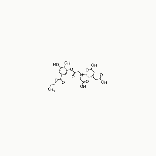 CCCOC(=O)c1cc(O)c(O)c(OC(=O)CN(CCN(CC(=O)O)CC(=O)O)CC(=O)O)c1